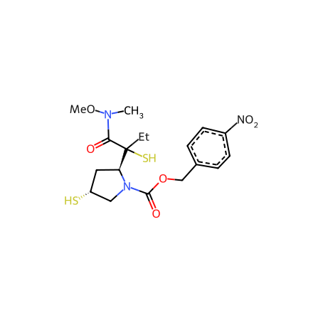 CCC(S)(C(=O)N(C)OC)[C@@H]1C[C@@H](S)CN1C(=O)OCc1ccc([N+](=O)[O-])cc1